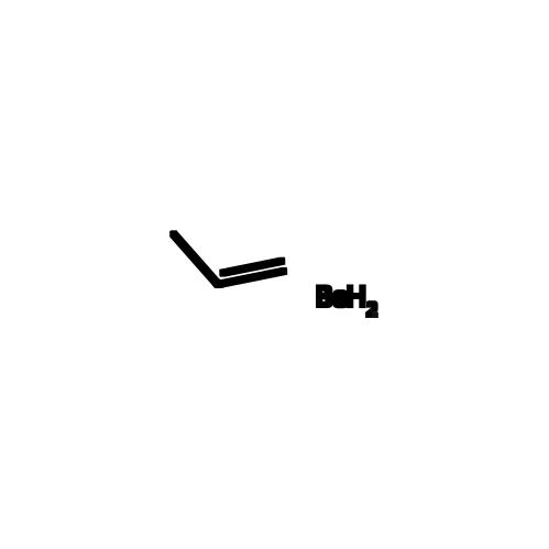 C=CC.[BeH2]